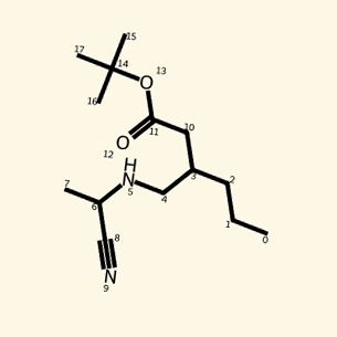 CCCC(CNC(C)C#N)CC(=O)OC(C)(C)C